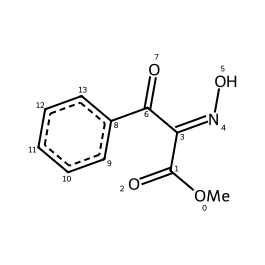 COC(=O)/C(=N/O)C(=O)c1ccccc1